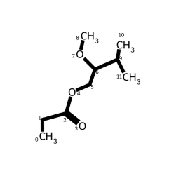 CCC(=O)OCC(OC)C(C)C